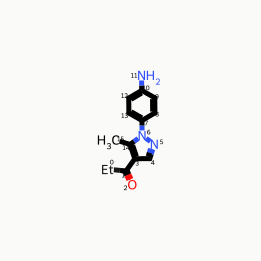 CCC(=O)c1cnn(-c2ccc(N)cc2)c1C